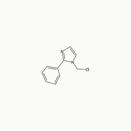 ClCn1ccnc1-c1ccccc1